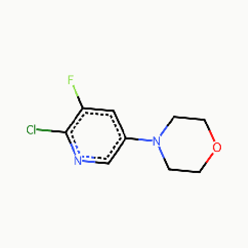 Fc1cc(N2CCOCC2)cnc1Cl